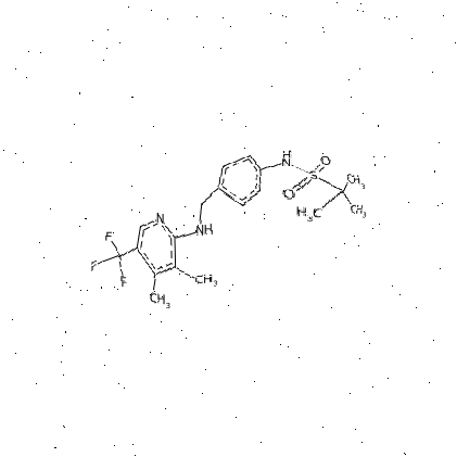 Cc1c(C(F)(F)F)cnc(NCc2ccc(NS(=O)(=O)C(C)(C)C)cc2)c1C